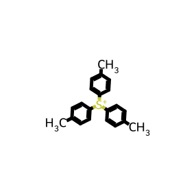 Cc1ccc([S+](c2ccc(C)cc2)c2ccc(C)cc2)cc1